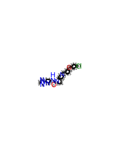 O=C(Nc1ccc(-n2nccn2)nc1)N1CCCC2(CCN(Cc3cccc(Oc4ccc(Cl)cc4)c3)CC2)C1